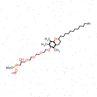 COP(OO)OCC(O)COCCOCCOCCOc1c(C)c(C)c2c(c1C)CCC(CCCCCCCCCCCC(C)C)O2